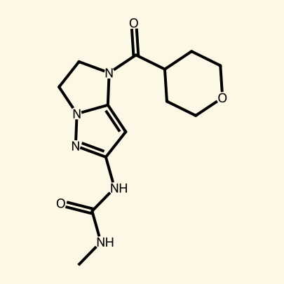 CNC(=O)Nc1cc2n(n1)CCN2C(=O)C1CCOCC1